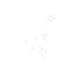 CC1O[C@@H](O[C@H]2C[C@](O)(/C(CO)=N/NC(=O)CCCCCN3C(=O)C=CC3=O)Cc3c(O)c4c(c(O)c32)C(=O)c2c(CO)cccc2C4=O)CC(N)[C@H]1O